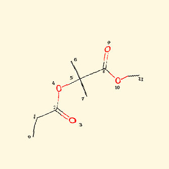 C[CH]C(=O)OC(C)(C)C(=O)OC